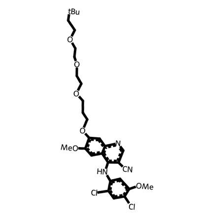 COc1cc(Nc2c(C#N)cnc3cc(OCCCOCCOCCOCCC(C)(C)C)c(OC)cc23)c(Cl)cc1Cl